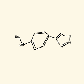 CC(C)(C)Nc1ccc(-c2csnn2)cc1